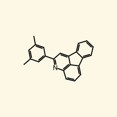 Cc1cc(C)cc(-c2cc3c4c(cccc4n2)-c2ccccc2-3)c1